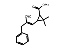 COC(=O)C1C(C=C(C=O)Cc2ccccc2)C1(C)C